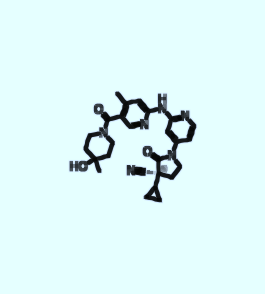 Cc1cc(Nc2cc(N3CC[C@@](C#N)(C4CC4)C3=O)ccn2)ncc1C(=O)N1CCC(C)(O)CC1